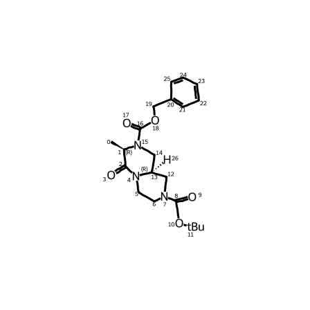 C[C@@H]1C(=O)N2CCN(C(=O)OC(C)(C)C)C[C@@H]2CN1C(=O)OCc1ccccc1